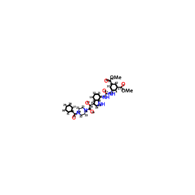 COC(=O)c1cc(NC(=O)Nc2cccc3c(C(=O)C(=O)N4CCN(C(=O)c5ccccc5)CC4)c[nH]c23)cc(C(=O)OC)c1